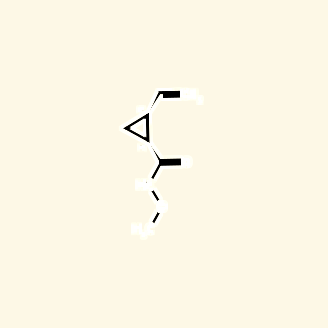 C=C[C@@H]1C[C@@H]1C(=O)NOC